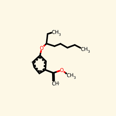 [CH]=C(OC)c1cc[c]c(OC(CC)CCCCC)c1